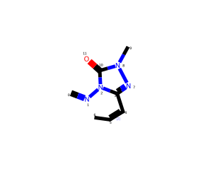 C=Nn1c(/C=C\C)nn(C)c1=O